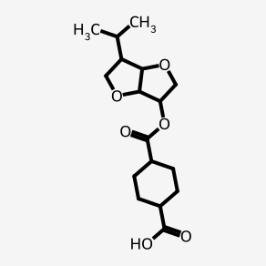 CC(C)C1COC2C(OC(=O)C3CCC(C(=O)O)CC3)COC12